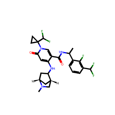 CC(NC(=O)c1cn(C2(C(F)F)CC2)c(=O)cc1NC1C[C@@H]2C[C@H]1CN2C)c1cccc(C(F)F)c1F